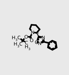 CC(C)(C)OC(=O)N1CCCC[C@H]1c1nc(-c2ccccc2)no1